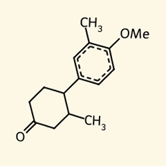 COc1ccc(C2CCC(=O)CC2C)cc1C